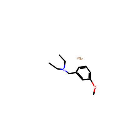 Br.CCN(CC)Cc1cccc(OC)c1